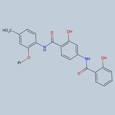 CC(C)Oc1cc(C(=O)O)ccc1NC(=O)c1ccc(NC(=O)c2ccccc2O)cc1O